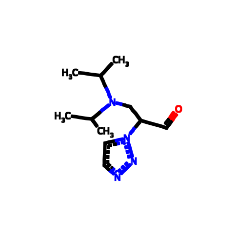 CC(C)N(CC(C=O)n1ccnn1)C(C)C